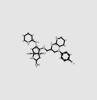 OC1C[C@H]2[C@H](OCC(COc3ccc(F)cc3)OC3CCCCO3)[C@@H](OC3CCCCO3)C[C@H]2O1